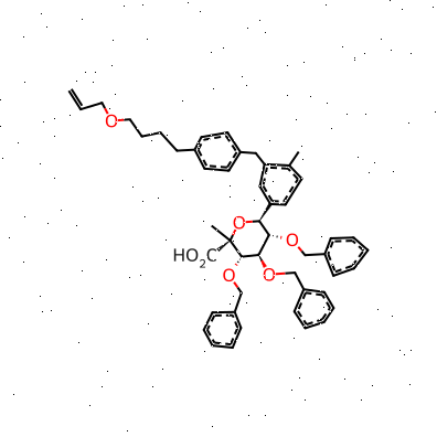 C=CCOCCCCc1ccc(Cc2cc([C@@H]3O[C@](C)(C(=O)O)[C@@H](OCc4ccccc4)[C@H](OCc4ccccc4)[C@H]3OCc3ccccc3)ccc2C)cc1